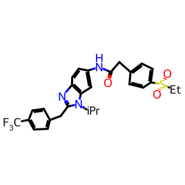 CCS(=O)(=O)c1ccc(CC(=O)Nc2ccc3nc(Cc4ccc(C(F)(F)F)cc4)n(C(C)C)c3c2)cc1